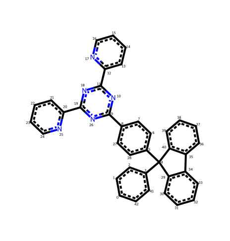 c1ccc(C2(c3ccc(-c4nc(-c5ccccn5)nc(-c5ccccn5)n4)cc3)c3ccccc3-c3ccccc32)cc1